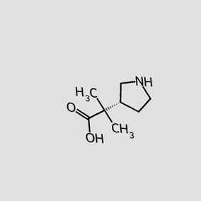 CC(C)(C(=O)O)[C@H]1CCNC1